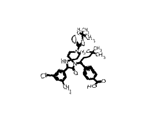 Cc1cc(Cl)cc(C2NC3(CCN(C(=O)OC(C)(C)C)CC3)N(C(CCC(C)(C)C)c3ccc(C(=O)O)cc3)C2=O)c1